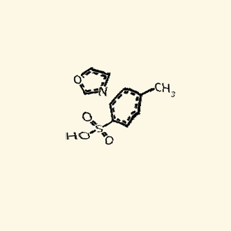 Cc1ccc(S(=O)(=O)O)cc1.c1cocn1